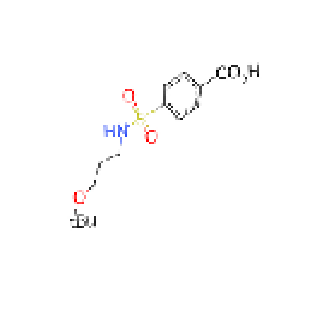 CC(C)(C)OCCCNS(=O)(=O)c1ccc(C(=O)O)cc1